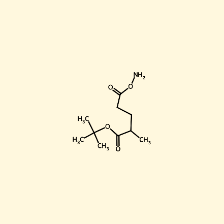 CC(CCC(=O)ON)C(=O)OC(C)(C)C